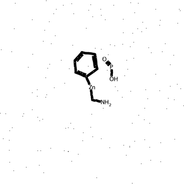 N[CH2][Zn][c]1ccccc1.O=PO